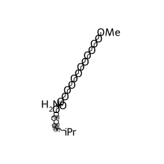 COCCOCCOCCOCCOCCOCCOCCOCCOCCOCCOCCOCCOC(=O)[C@@H](N)COC1CC[C@@]2(C)C(=CCC3C2CC[C@@]2(C)C3CC[C@@H]2[C@H](C)CCCC(C)C)C1